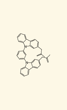 C=C(C)Cc1ccc2c3ccccc3n(-c3cccc(-n4c5ccccc5c5ccc(CC(=C)C)cc54)c3)c2c1